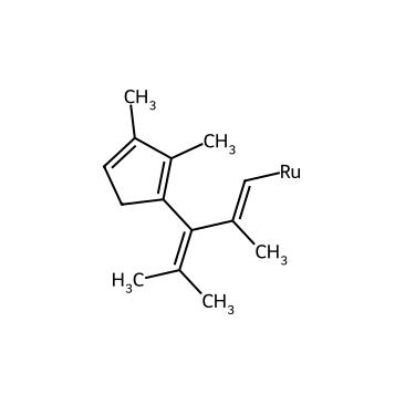 CC1=CCC(C(C(C)=[CH][Ru])=C(C)C)=C1C